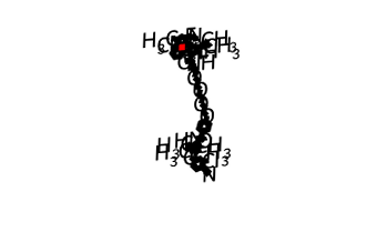 Cc1ccc([C@@]2(C#N)[C@H](CC(C)(C)C)NC(C(=O)NCCOCCOCCOCCOc3ccc(C(=O)N[C@H]4C(C)(C)[C@H](Oc5ccc(C#N)c(Cl)c5)C4(C)C)cc3)[C@@H]2c2cccc(Cl)c2F)c(F)c1